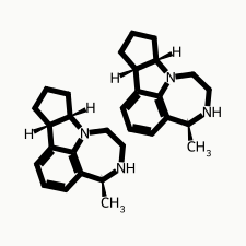 C[C@@H]1NCCN2c3c1cccc3[C@@H]1CCC[C@@H]12.C[C@@H]1NCCN2c3c1cccc3[C@@H]1CCC[C@@H]12